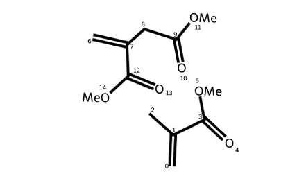 C=C(C)C(=O)OC.C=C(CC(=O)OC)C(=O)OC